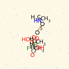 CC(C)Nc1cccc(SCc2ccc([C@H]3O[C@@H]4C[C@H]5[C@@H]6C[C@H](F)C7=CC(=O)C=C[C@]7(C)[C@@]6(F)[C@@H](O)C[C@]5(C)[C@]4(C4OC4CO)O3)cc2)c1